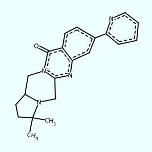 CC1(C)CCC2Cn3c(nc4cc(-c5ccccn5)ccc4c3=O)CN21